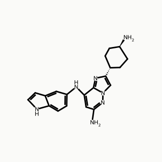 Nc1cc(Nc2ccc3[nH]ccc3c2)c2nc([C@H]3CC[C@H](N)CC3)cn2n1